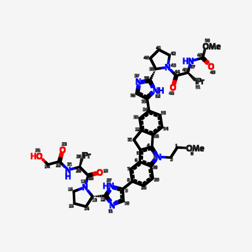 COCCn1c2c(c3cc(-c4cnc([C@@H]5CCCN5C(=O)[C@@H](NC(=O)CO)C(C)C)[nH]4)ccc31)Cc1cc(-c3cnc([C@@H]4CCCN4C(=O)[C@@H](NC(=O)OC)C(C)C)[nH]3)ccc1-2